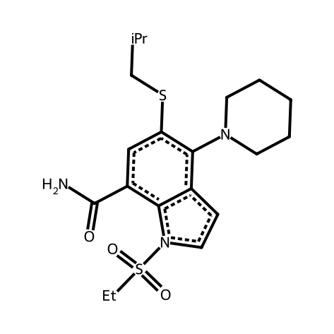 CCS(=O)(=O)n1ccc2c(N3CCCCC3)c(SCC(C)C)cc(C(N)=O)c21